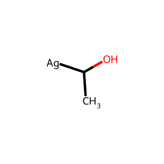 C[CH](O)[Ag]